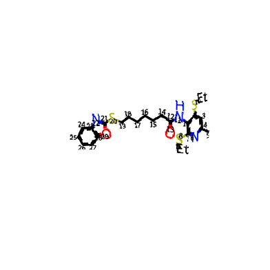 CCSc1cc(C)nc(SCC)c1NC(=O)CCCCCCSc1nc2ccccc2o1